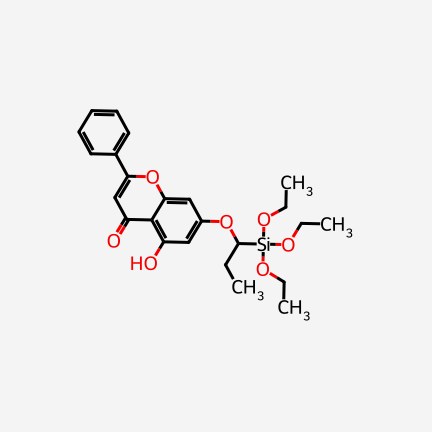 CCO[Si](OCC)(OCC)C(CC)Oc1cc(O)c2c(=O)cc(-c3ccccc3)oc2c1